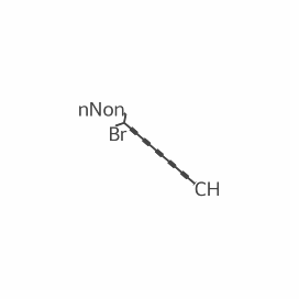 C#CC#CC#CC#CC#CC#CC(CBr)CCCCCCCCCC